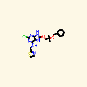 CC(C)(COc1nc2c(NCc3nccs3)nc(Cl)nc2[nH]1)OCc1ccccc1